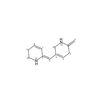 C=C1CC=C(/C=C2\C=CCCN2)CN1